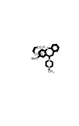 CSc1ccc2c(c1)C(N1CCN(C)CC1)Cc1ccccc1S2.O=C(O)/C=C\C(=O)O